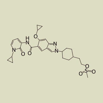 CS(=O)(=O)OCCC1CCC(n2cc3cc(C(=O)Nc4cccn(C5CC5)c4=O)c(OC4CC4)cc3n2)CC1